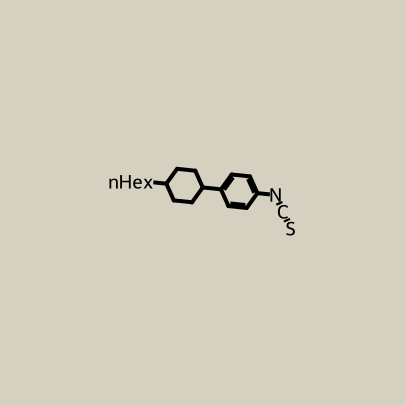 CCCCCCC1CCC(c2ccc(N=C=S)cc2)CC1